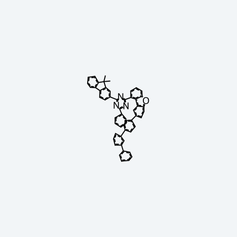 CC1(C)c2ccccc2-c2ccc(-c3nc(-c4ccccc4)nc(-c4cccc5oc6ccc(-c7ccc(-c8cccc(-c9ccccc9)c8)cc7)cc6c45)n3)cc21